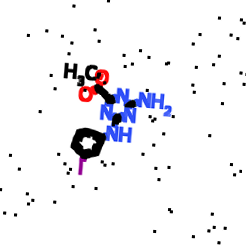 COC(=O)c1nc(N)nc(Nc2cccc(I)c2)n1